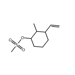 C=CC1CCCC(OS(C)(=O)=O)C1C